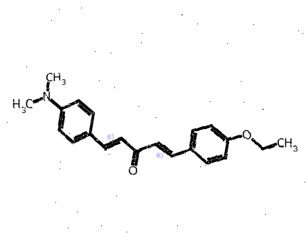 CCOc1ccc(/C=C/C(=O)/C=C/c2ccc(N(C)C)cc2)cc1